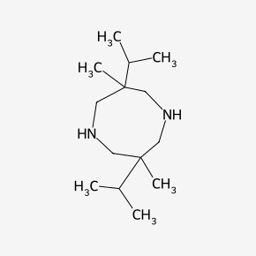 CC(C)C1(C)CNCC(C)(C(C)C)CNC1